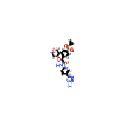 O=C(Nc1ccc(-c2nn[nH]n2)cn1)C(OC1CCOCC1)c1ccc(S(=O)(=O)C2CC2)cc1